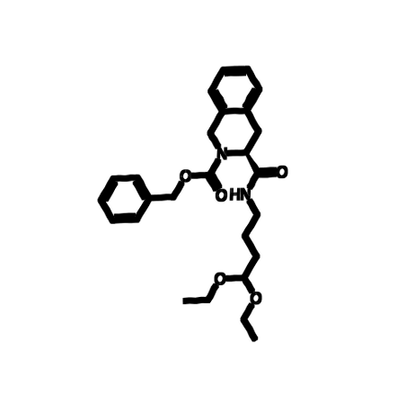 CCOC(CCCNC(=O)[C@@H]1Cc2ccccc2CN1C(=O)OCc1ccccc1)OCC